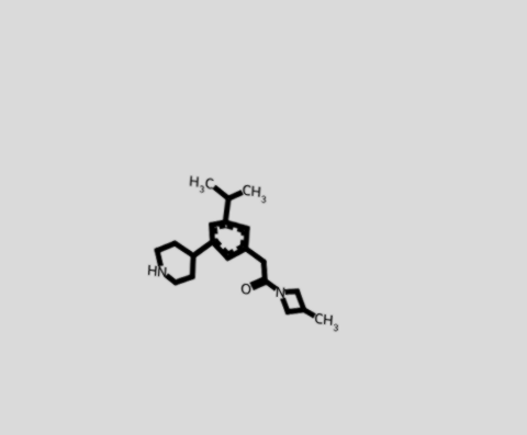 CC1CN(C(=O)Cc2cc(C(C)C)cc(C3CCNCC3)c2)C1